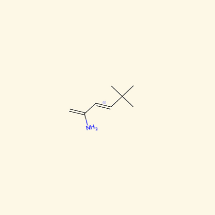 C=C(N)/C=C/C(C)(C)C